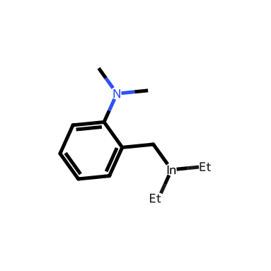 C[CH2][In]([CH2]C)[CH2]c1ccccc1N(C)C